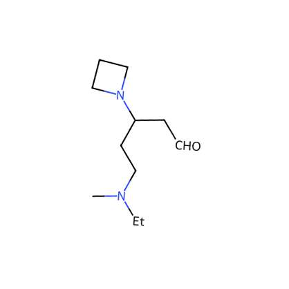 CCN(C)CCC(CC=O)N1CCC1